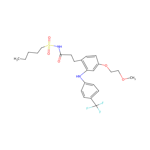 CCCCCS(=O)(=O)NC(=O)CCc1ccc(OCCOC)cc1Nc1ccc(C(F)(F)F)cc1